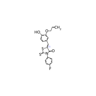 C=CCOc1cc(/C=C2\SC(=S)N(c3ccc(F)cc3)C2=O)ccc1O